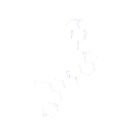 CN1CCN(Cc2cc(NC(=O)c3ccc4c(c3)N(Cc3cnc5[nH]ccc5c3)CC4)cc(C(F)(F)F)c2)CC1